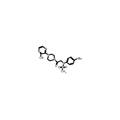 CCCCc1ccc(N(CC(=O)N2CCN(c3nccnc3C#N)CC2)S(C)(=O)=O)cc1